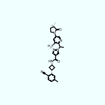 Cc1ccc(C#N)c([C@H]2C[C@@H](NC(=O)c3cnn(C(C)c4ncc(N5CC[C@H](C)C5=O)cc4P)c3)C2)c1